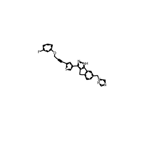 Fc1cccc(OCC#Cc2cc(-c3n[nH]c4c3Cc3ccc(Cn5cncn5)cc3-4)cs2)c1